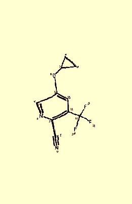 N#Cc1ncc(OC2CC2)cc1C(F)(F)F